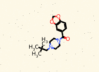 CC(C)(C)CN1CCN(C(=O)c2ccc3c(c2)OCO3)CC1